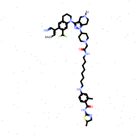 CN/C=C(\C=N)c1cc2c(cc1C(F)F)N(c1nn(C3CCN(CC(=O)NCCCCCCCCNc4ccc(C(=O)NC5=NCC(C)S5)c(C)c4)CC3)c3c1CN(C(C)=O)CC3)CCC2